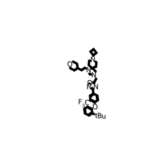 CC(C)(C)c1ccccc1Oc1ccc(-c2noc(CN3CN(CCC4CCOCC4)C4(CCN(C5CCC5)CC4)C3)n2)cc1C(F)(F)F